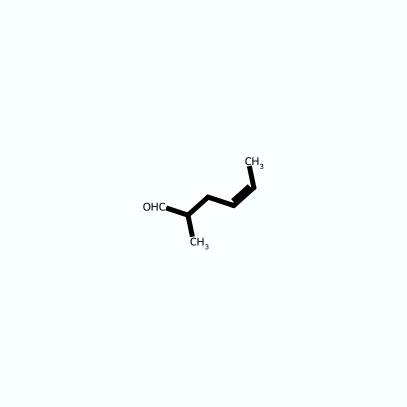 C/C=C\CC(C)C=O